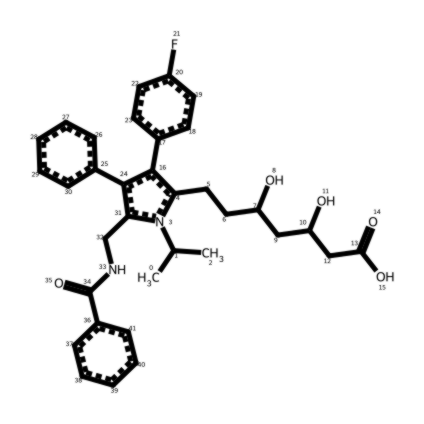 CC(C)n1c(CCC(O)CC(O)CC(=O)O)c(-c2ccc(F)cc2)c(-c2ccccc2)c1CNC(=O)c1ccccc1